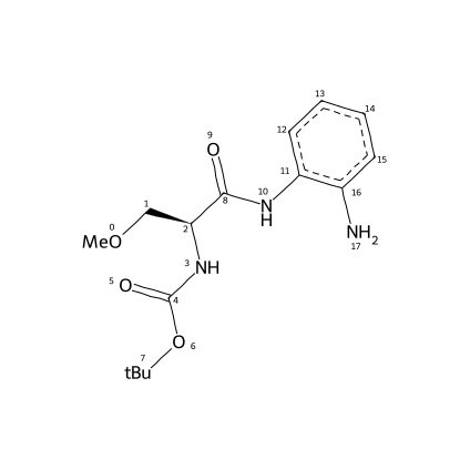 COC[C@H](NC(=O)OC(C)(C)C)C(=O)Nc1ccccc1N